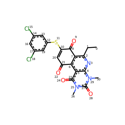 CCc1nc2c(c3c1C(=O)C(Sc1cc(Cl)cc(Cl)c1)=CC3=O)c(=O)n(C)c(=O)n2C